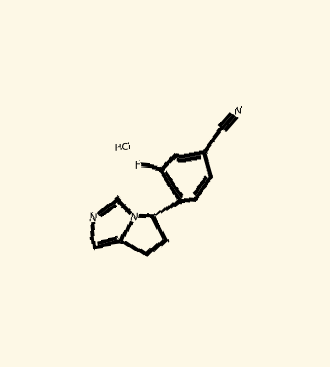 Cl.N#Cc1ccc([C@H]2CCc3cncn32)c(F)c1